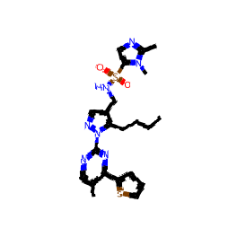 CCCCc1c(CNS(=O)(=O)c2cnc(C)n2C)cnn1-c1ncc(C)c(-c2cccs2)n1